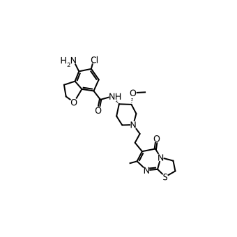 CO[C@@H]1CN(CCc2c(C)nc3n(c2=O)CCS3)CC[C@@H]1NC(=O)c1cc(Cl)c(N)c2c1OCC2